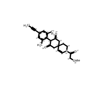 CC#Cc1cc(C)c(C2C(=O)CC3(C=CN(C(=O)COC)CC3)CC2=O)c(C)c1